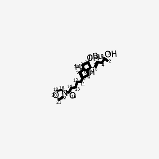 CCCC[C@@](C)(O)C/C=C/[C@@H]1[C@H]2CC(CCCCC(=O)N3CCOCC3)=C[C@H]2C[C@H]1O